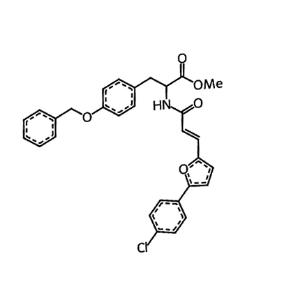 COC(=O)C(Cc1ccc(OCc2ccccc2)cc1)NC(=O)/C=C/c1ccc(-c2ccc(Cl)cc2)o1